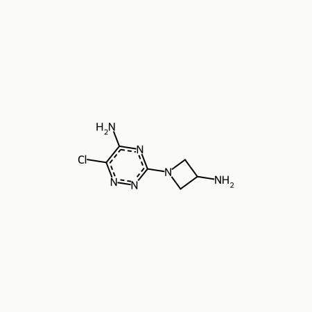 Nc1nc(N2CC(N)C2)nnc1Cl